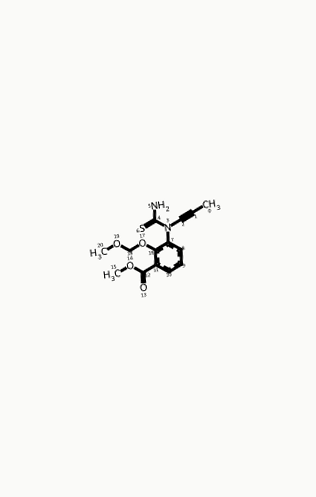 CC#CN(C(N)=S)c1cccc(C(=O)OC)c1OCOC